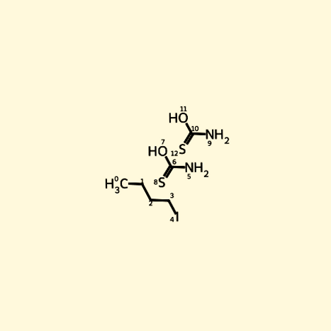 CCCCI.NC(O)=S.NC(O)=S